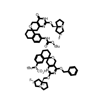 CC(C)(C)N(C(=O)O)c1ccc2c(c1)C1(CCC2)Cc2nc(OC[C@@]34CCCN3C[C@H](F)C4)nc(OCc3ccccc3)c2CO1.CC(C)(C)OC(=O)Nc1ccc2c(c1)C1(CCC2)Cc2nc(OC[C@@]34CCCN3C[C@H](F)C4)[nH]c(=O)c2CO1